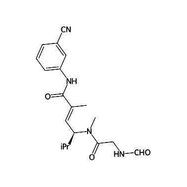 C/C(=C\[C@H](C(C)C)N(C)C(=O)CNC=O)C(=O)Nc1cccc(C#N)c1